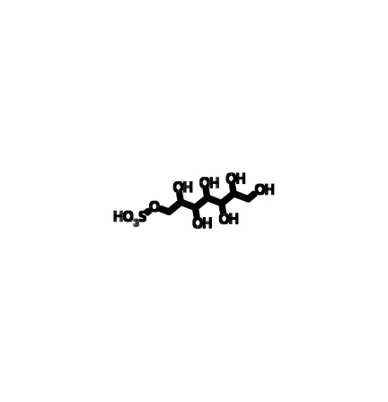 O=S(=O)(O)OCC(O)C(O)C(O)C(O)C(O)CO